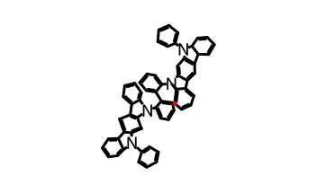 C1=CC2c3cc4c5ccccc5n(-c5ccccc5-c5ccccc5-n5c6ccccc6c6cc7c8ccccc8n(-c8ccccc8)c7cc65)c4cc3N(c3ccccc3)C2C=C1